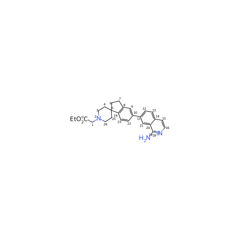 CCOC(=O)CN1CCC2(CCc3cc(-c4ccc5ccnc(N)c5c4)ccc32)CC1